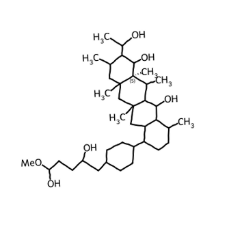 COC(O)CCC(O)CC1CCC(C2CCC(C)C3C(O)C4C(C)[C@]5(C)C(O)C(C(C)O)C(C)CC5(C)CC4(C)CC23)CC1